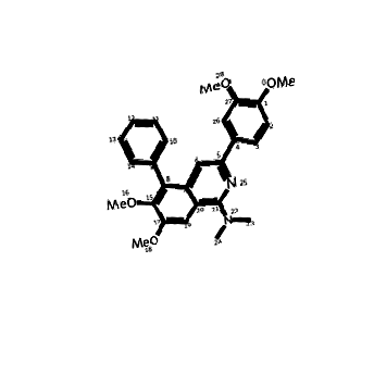 COc1ccc(-c2cc3c(-c4ccccc4)c(OC)c(OC)cc3c(N(C)C)n2)cc1OC